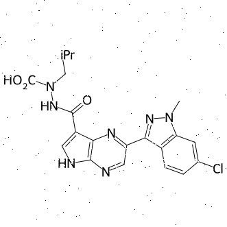 CC(C)CN(NC(=O)c1c[nH]c2ncc(-c3nn(C)c4cc(Cl)ccc34)nc12)C(=O)O